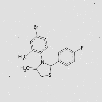 C=C1CSC(c2ccc(F)cc2)N1c1ccc(Br)cc1C